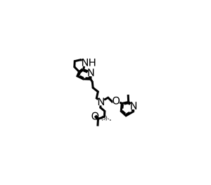 CC(=O)[C@@H](C)CCN(CCCCc1ccc2c(n1)NCCC2)CCOc1cccnc1C